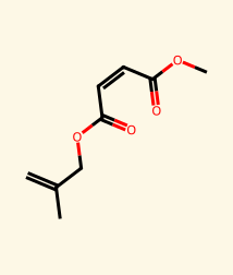 C=C(C)COC(=O)/C=C\C(=O)OC